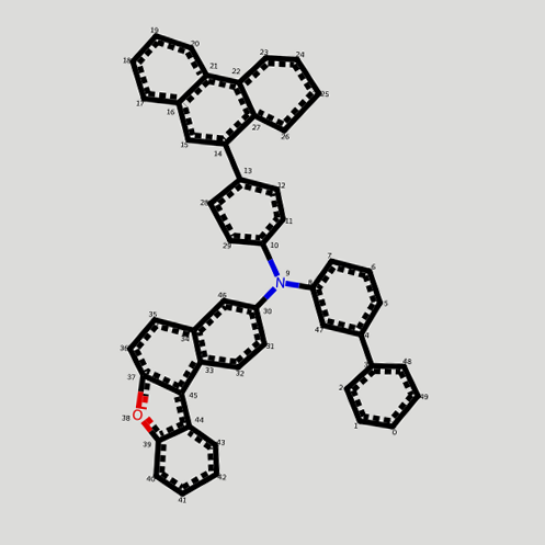 c1ccc(-c2cccc(N(c3ccc(-c4cc5ccccc5c5ccccc45)cc3)c3ccc4c(ccc5oc6ccccc6c54)c3)c2)cc1